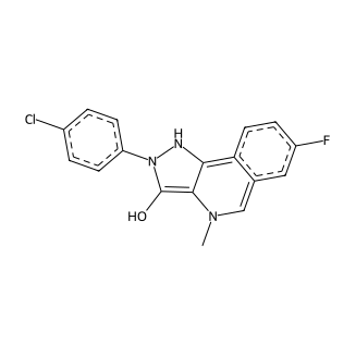 CN1C=c2cc(F)ccc2=C2NN(c3ccc(Cl)cc3)C(O)=C21